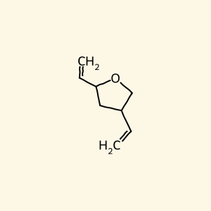 C=CC1COC(C=C)C1